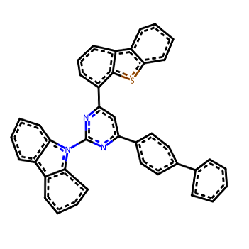 c1ccc(-c2ccc(-c3cc(-c4cccc5c4sc4ccccc45)nc(-n4c5ccccc5c5ccccc54)n3)cc2)cc1